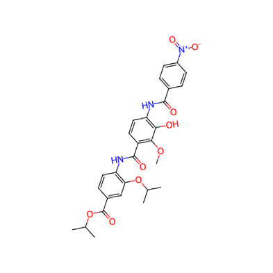 COc1c(C(=O)Nc2ccc(C(=O)OC(C)C)cc2OC(C)C)ccc(NC(=O)c2ccc([N+](=O)[O-])cc2)c1O